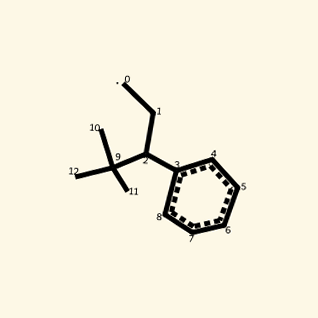 [CH2]CC(c1ccccc1)C(C)(C)C